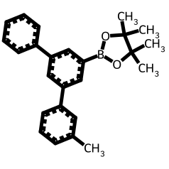 Cc1cccc(-c2cc(B3OC(C)(C)C(C)(C)O3)cc(-c3ccccc3)c2)c1